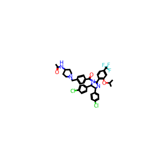 CC(=O)NC1CCN(Cc2ccc(C(=O)N3C(c4ccc(C(F)(F)F)cc4OC(C)C)=NC(c4ccc(Cl)cc4)C3c3ccc(Cl)cc3)cc2)CC1